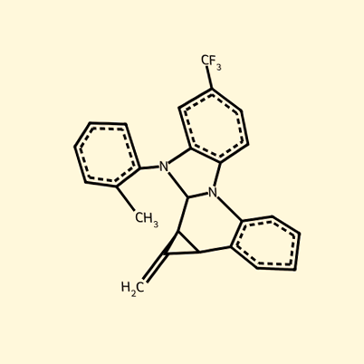 C=C1C2c3ccccc3N3c4ccc(C(F)(F)F)cc4N(c4ccccc4C)C3C12